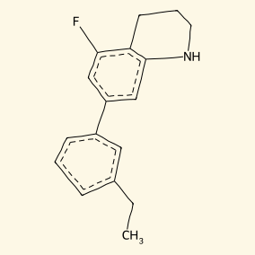 CCc1cccc(-c2cc(F)c3c(c2)NCCC3)c1